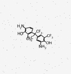 Nc1cc(C(c2ccc(N)c(O)c2C(F)(F)F)(C(F)(F)F)C(F)(F)F)cc(C(F)(F)F)c1O